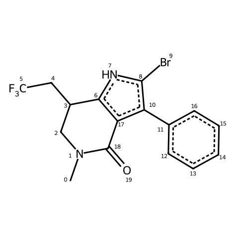 CN1CC(CC(F)(F)F)c2[nH]c(Br)c(-c3ccccc3)c2C1=O